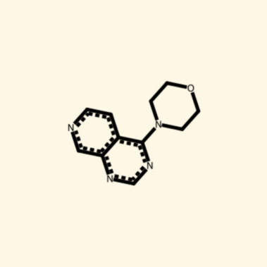 c1cc2c(N3CCOCC3)ncnc2cn1